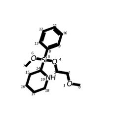 COCCO[Si](OC)(c1ccccc1)C1CCCCN1